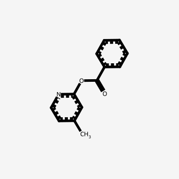 Cc1ccnc(OC(=O)c2ccccc2)c1